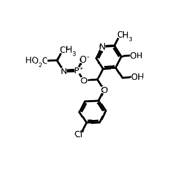 Cc1ncc(C(Oc2ccc(Cl)cc2)O/[P+]([O-])=N/C(C)C(=O)O)c(CO)c1O